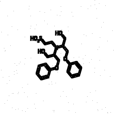 O=S(=O)(O)CCN(C(CO)COc1ccccc1)C(CO)COc1ccccc1